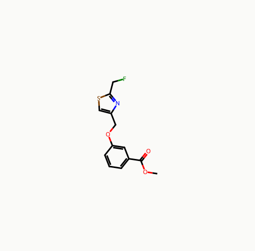 COC(=O)c1cccc(OCc2csc(CF)n2)c1